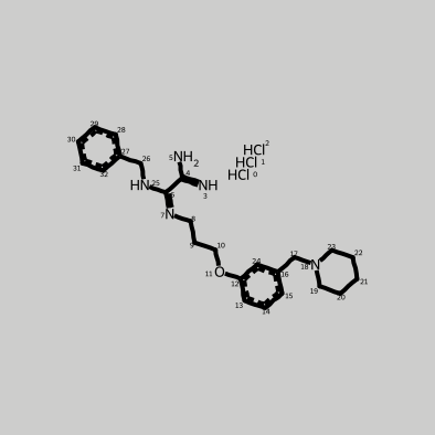 Cl.Cl.Cl.N=C(N)/C(=N\CCCOc1cccc(CN2CCCCC2)c1)NCc1ccccc1